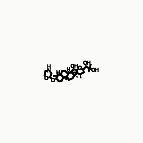 C[C@@H]1CC([C@H](O)C(C)(C)O)OC2C1[C@@]1(C)CCC34C[C@@]35CC[C@H](OC3CNCCO3)C(C)(C)[C@@H]5CC[C@H]4[C@]1(C)[C@H]2O